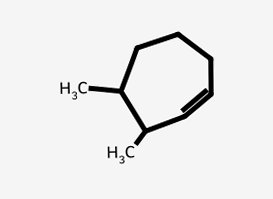 CC1C=CCCCC1C